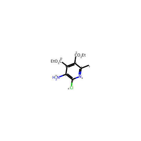 CCOC(=O)c1c(C)nc(Cl)c(N)c1C(=O)OCC